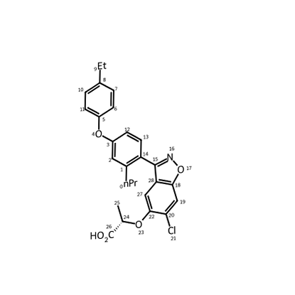 CCCc1cc(Oc2ccc(CC)cc2)ccc1-c1noc2cc(Cl)c(O[C@@H](C)C(=O)O)cc12